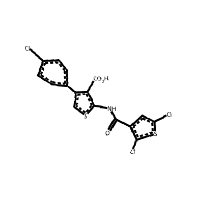 O=C(Nc1scc(-c2ccc(Cl)cc2)c1C(=O)O)c1cc(Cl)sc1Cl